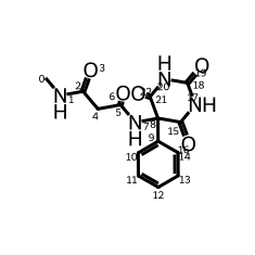 CNC(=O)CC(=O)NC1(c2ccccc2)C(=O)NC(=O)NC1=O